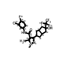 Cn1nc(C2CC3CC(O)(C(F)(F)C(F)(F)F)CC3C2)c(C(=O)Nc2ccc(F)c(Cl)c2)c1N